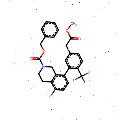 COC(=O)Cc1ccc(C(F)(F)F)c(-c2ccc(F)c3c2CN(C(=O)OCc2ccccc2)CC3)c1